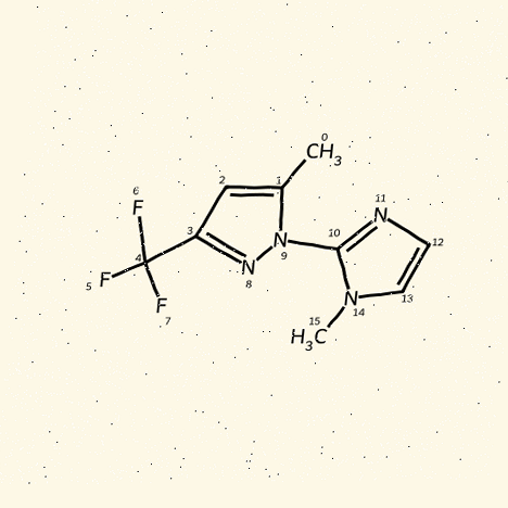 Cc1cc(C(F)(F)F)nn1-c1nccn1C